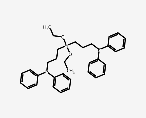 CCO[Si](CCCP(c1ccccc1)c1ccccc1)(CCCP(c1ccccc1)c1ccccc1)OCC